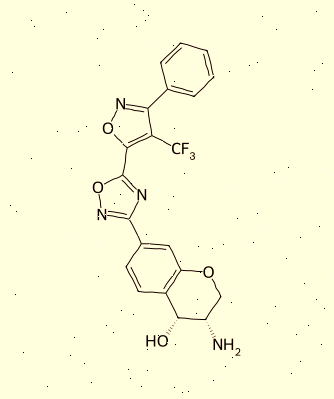 N[C@H]1COc2cc(-c3noc(-c4onc(-c5ccccc5)c4C(F)(F)F)n3)ccc2[C@H]1O